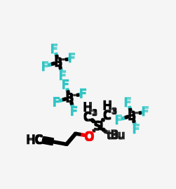 C#CCCO[Si](C)(C)C(C)(C)C.F[B-](F)(F)F.F[B-](F)(F)F.F[B-](F)(F)F